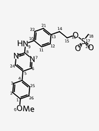 COc1ccc(-c2cnc(Nc3ccc(CCOS(C)(=O)=O)cc3)nc2)cc1